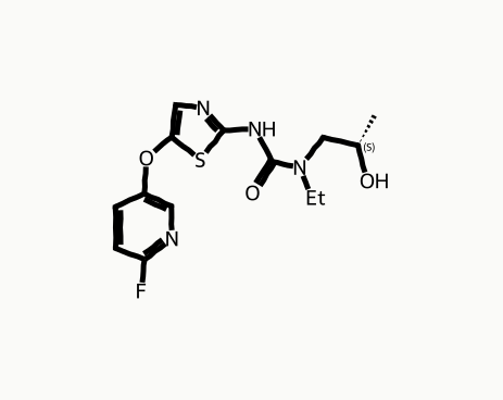 CCN(C[C@H](C)O)C(=O)Nc1ncc(Oc2ccc(F)nc2)s1